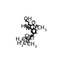 CCn1c(=O)c2c(CCO)[nH]nc2c2cc(C=CCN(C(C)C)C(C)C)ccc21